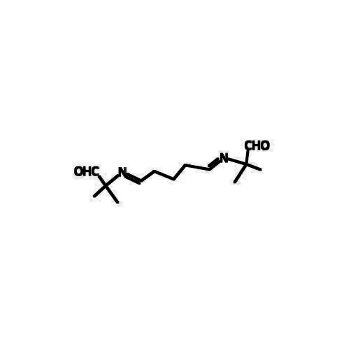 CC(C)(C=O)N=CCCCC=NC(C)(C)C=O